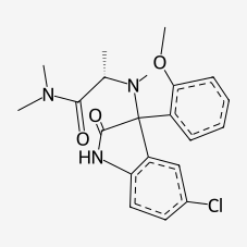 COc1ccccc1C1(N(C)[C@@H](C)C(=O)N(C)C)C(=O)Nc2ccc(Cl)cc21